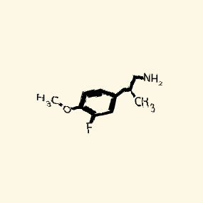 COc1ccc([C@H](C)CN)cc1F